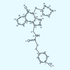 O=C(CCc1ccc(C(F)(F)F)cc1)NCc1nnc2n(Cc3ccncn3)c(=O)c3ccccc3n12